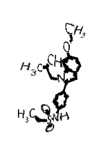 CCOc1ccc2cc(-c3ccc(NS(=O)(=O)CC)cc3)n(CC(C)C)c2c1